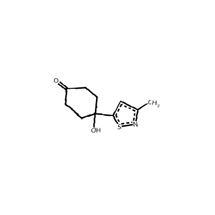 Cc1cc(C2(O)CCC(=O)CC2)sn1